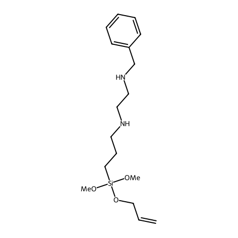 C=CCO[Si](CCCNCCNCc1ccccc1)(OC)OC